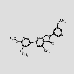 COc1cncc(N2Cc3nc(-c4cnc(OC)c(OC)c4)cc(C)c3C2=O)c1